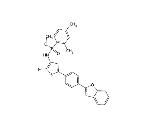 COP(=O)(Nc1cc(-c2ccc(-c3cc4ccccc4o3)cc2)sc1I)c1ccc(C)cc1C